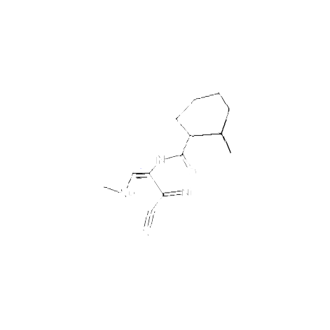 CN/C=C(/NC(=O)C1CCCCC1C)C(=N)C#N